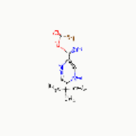 CC(C)(C)C1C=NC(C(=N)OC(=O)S)=CN1